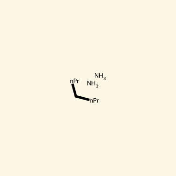 CCCCCCC.N.N